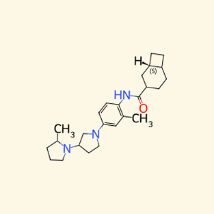 Cc1cc(N2CCC(N3CCCC3C)C2)ccc1NC(=O)C1CCC2CC[C@H]2C1